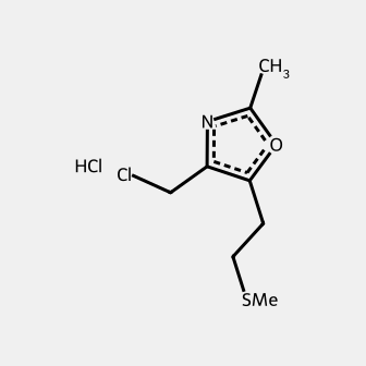 CSCCc1oc(C)nc1CCl.Cl